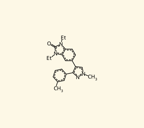 CCn1c(=O)n(CC)c2cc(-c3cn(C)nc3-c3cccc(C)c3)ccc21